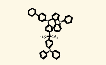 CC(C)(c1ccc(N(c2ccccc2)c2ccccc2)cc1)c1ccc(N(c2ccc(C3CCCCC3)cc2)c2cccc3c2c2ccccc2n3-c2ccccc2)cc1